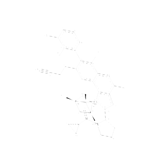 Cc1nc2c(F)c(-c3cccc(F)c3Cl)c(CCC#N)cc2c2c1cc(C1CCCN1C(=O)C1CC1)n2[C@H]1[C@H]2CN[C@@H]1C2